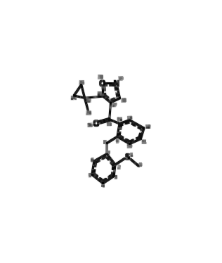 CSc1ccccc1Cc1ccccc1C(=O)c1cnoc1C1(C)CC1